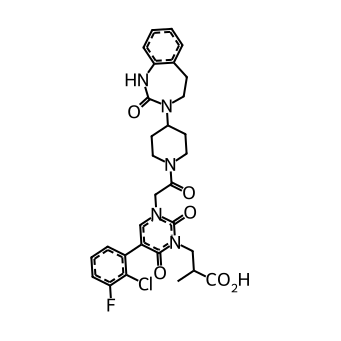 CC(Cn1c(=O)c(-c2cccc(F)c2Cl)cn(CC(=O)N2CCC(N3CCc4ccccc4NC3=O)CC2)c1=O)C(=O)O